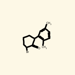 Cc1ccc(C)c(C2CCCC(Br)C2=O)c1